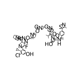 Cc1ncsc1-c1ccc([C@H](C)NC(=O)[C@@H]2C[C@@H](O)CN2C(=O)[C@H](c2cc(OC3CN(C(=O)OC[C@@H]4CC[C@@H](COc5nc(N6CC7CCC(C6)N7)c6cnc(-c7cc(O)cc(Cl)c7C7CC7)c(F)c6n5)N4C)C3)no2)C(C)C)cc1